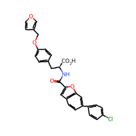 O=C(N[C@@H](Cc1ccc(OCc2ccoc2)cc1)C(=O)O)c1cc2ccc(-c3ccc(Cl)cc3)cc2o1